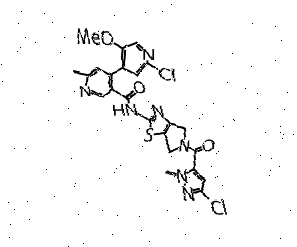 COc1cnc(Cl)cc1-c1cc(C)ncc1C(=O)Nc1nc2c(s1)CN(C(=O)c1cc(Cl)nn1C)C2